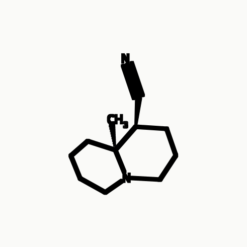 C[C@@]12CCCCN1CCC[C@@H]2C#N